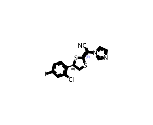 N#C/C(=C1/SC[C@@H](c2ccc(I)cc2Cl)S1)n1ccnc1